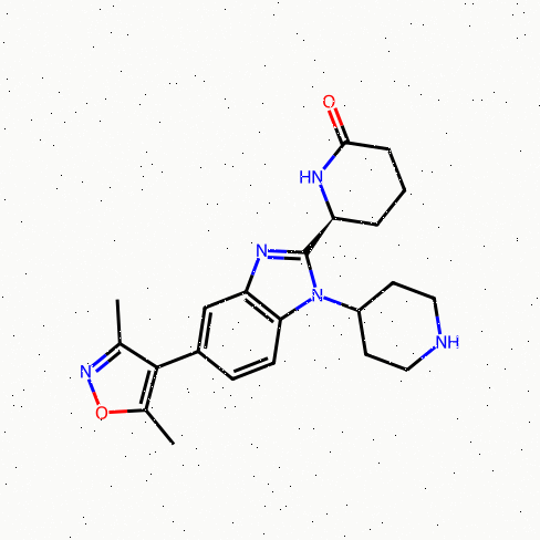 Cc1noc(C)c1-c1ccc2c(c1)nc([C@@H]1CCCC(=O)N1)n2C1CCNCC1